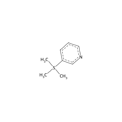 CS(C)(C)c1cccnc1